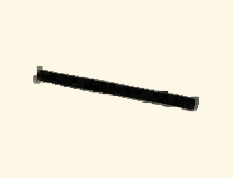 C1CC2C1C1C2C2C1C1C2C2C1C1C2C2C1C1C2C2C1C1C2C2C1C1C2C2C1C1C2C2C1C1C3C4C5C6C7C8C9C%10C%11C%12C%13C%14C%15C%16CCC%16C%15C%14C%13C%12C%11C%10C9C8C7C6C5C4C3C21